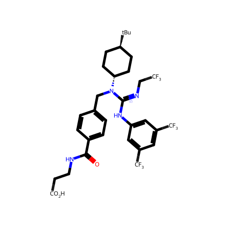 CC(C)(C)[C@H]1CC[C@H](N(Cc2ccc(C(=O)NCCC(=O)O)cc2)/C(=N\CC(F)(F)F)Nc2cc(C(F)(F)F)cc(C(F)(F)F)c2)CC1